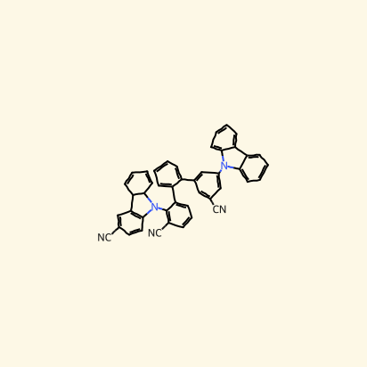 N#Cc1cc(-c2ccccc2-c2cccc(C#N)c2N2c3ccc(C#N)cc3C3C=CC=CC32)cc(-n2c3ccccc3c3ccccc32)c1